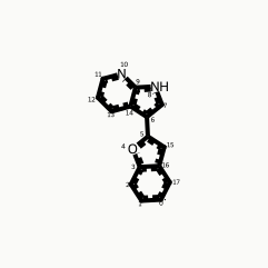 [c]1ccc2oc(-c3c[nH]c4ncccc34)cc2c1